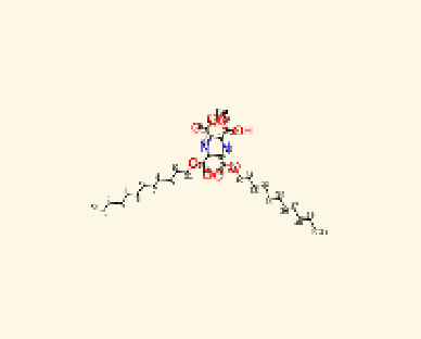 CCCCCCCCCCCCOC(=O)c1nc(C(=O)O)c(C(=O)O)nc1C(=O)OCCCCCCCCCCCC.[Fe]